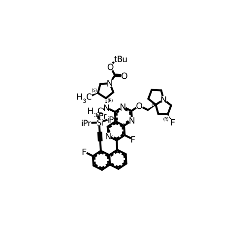 CC(C)[Si](C#Cc1c(F)ccc2cccc(-c3ncc4c(N(C)[C@H]5CN(C(=O)OC(C)(C)C)C[C@@H]5C)nc(OC[C@@]56CCCN5C[C@H](F)C6)nc4c3F)c12)(C(C)C)C(C)C